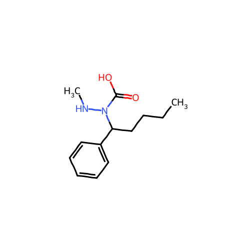 CCCCC(c1ccccc1)N(NC)C(=O)O